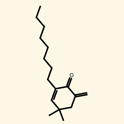 C=C1CC(C)(C)C=C(CCCCCCCC)C1=O